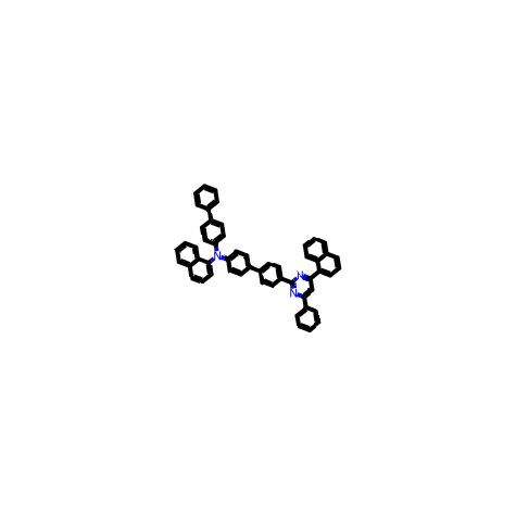 c1ccc(-c2ccc(N(c3ccc(-c4ccc(-c5nc(-c6ccccc6)cc(-c6cccc7ccccc67)n5)cc4)cc3)c3cccc4ccccc34)cc2)cc1